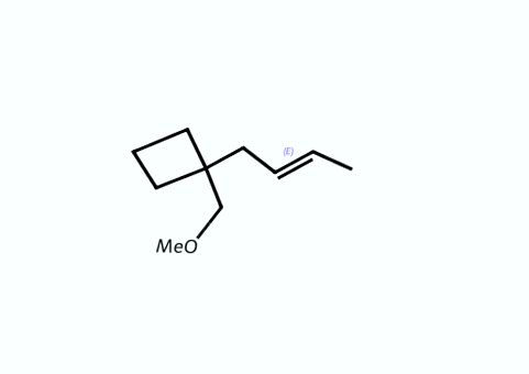 C/C=C/CC1(COC)CCC1